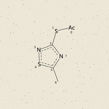 CC(=O)Sc1nsc(C)n1